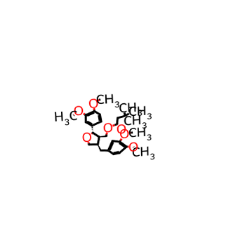 COc1ccc(C[C@H]2CO[C@H](c3ccc(OC)c(OC)c3)[C@H]2COC(=O)CC(C)(C)C)cc1OC